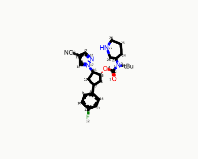 CC(C)(C)N(C(=O)O[C@@H]1CC(c2ccc(F)cc2)CC1n1cc(C#N)cn1)C1CCCNC1